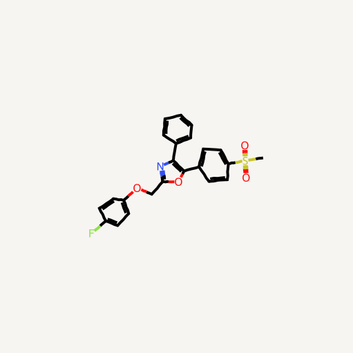 CS(=O)(=O)c1ccc(-c2oc(COc3ccc(F)cc3)nc2-c2ccccc2)cc1